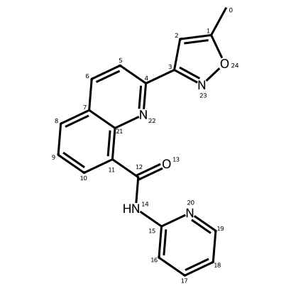 Cc1cc(-c2ccc3cccc(C(=O)Nc4ccccn4)c3n2)no1